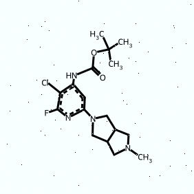 CN1CC2CN(c3cc(NC(=O)OC(C)(C)C)c(Cl)c(F)n3)CC2C1